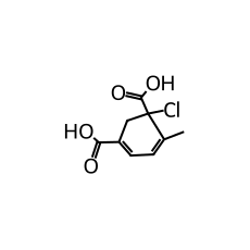 CC1=CC=C(C(=O)O)CC1(Cl)C(=O)O